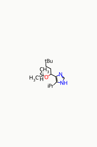 CC(C)c1[nH]cnc1C(CCC(C)(C)C)O[SiH](C)C